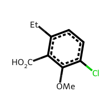 CCc1ccc(Cl)c(OC)c1C(=O)O